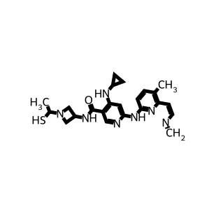 C=N/C=C\c1nc(Nc2cc(NC3CC3)c(C(=O)NC3CN(C(C)S)C3)cn2)ccc1C